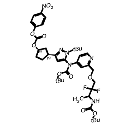 CC(NC(=O)OC(C)(C)C)C(F)(F)COCc1cc(N(C(=O)OC(C)(C)C)c2cc([C@H]3CC[C@@H](OC(=O)Oc4ccc([N+](=O)[O-])cc4)C3)nn2C(C)(C)C)ccn1